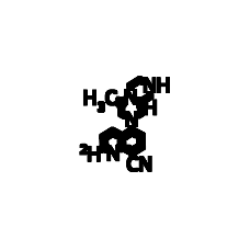 [2H]c1ccc2c(N3C[C@@H]4CNCCN4[C@@H](C)C3)ccc(C#N)c2n1